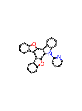 c1ccc(-n2c3ccccc3c3c4oc5ccccc5c4c4c5ccccc5oc4c32)nc1